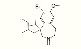 [CH2]C=C(C)CC1(C(C)C)CNCCc2cc(OC)c(Br)cc21